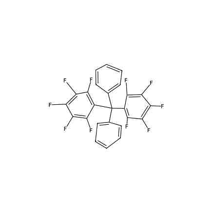 Fc1c(F)c(F)c(C(c2ccccc2)(c2ccccc2)c2c(F)c(F)c(F)c(F)c2F)c(F)c1F